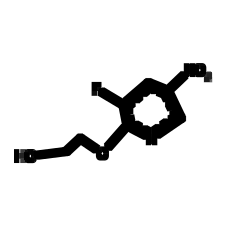 O=[N+]([O-])c1cnc(OCCO)c(F)c1